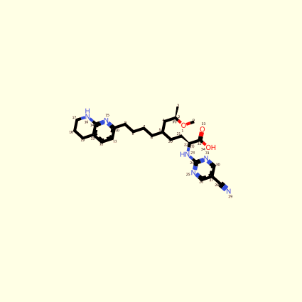 CO[C@H](C)CC(CCCCc1ccc2c(n1)NCCC2)CC[C@H](Nc1ncc(C#N)cn1)C(=O)O